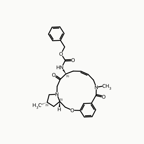 C[C@H]1C[C@H]2COc3cccc(c3)C(=O)N(C)CC=CC[C@H](NC(=O)OCc3ccccc3)C(=O)CN2C1